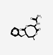 BC(=O)NC1COC(=O)[C@H](Cc2ccccc2)C[C@H](C)OC1=O